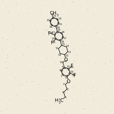 CCCCCOc1ccc(COC2CCC(c3ccc(-c4ccc(C)cc4)c(F)c3F)CC2)c(F)c1F